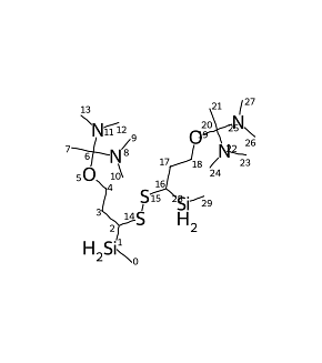 C[SiH2]C(CCOC(C)(N(C)C)N(C)C)SSC(CCOC(C)(N(C)C)N(C)C)[SiH2]C